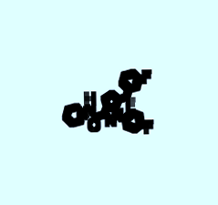 O=C(NN1CCCCC1)c1nn(-c2ccc(F)cc2F)c2c1CCC2Cc1cccc(F)c1